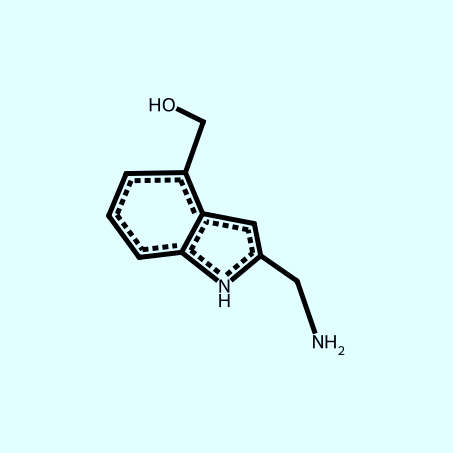 NCc1cc2c(CO)cccc2[nH]1